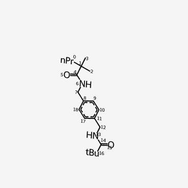 CCCC(C)(C)C(=O)NCc1ccc(CNC(=O)C(C)(C)C)cc1